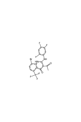 CC(=O)c1c(Nc2cc(F)c(F)cc2F)[nH]c2c(Br)ccc(C(F)(F)F)c2c1=O